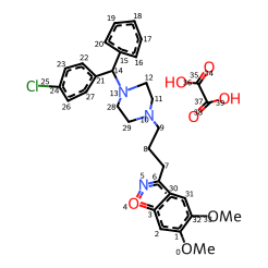 COc1cc2onc(CCCN3CCN(C(c4ccccc4)c4ccc(Cl)cc4)CC3)c2cc1OC.O=C(O)C(=O)O